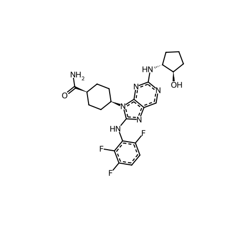 NC(=O)[C@H]1CC[C@@H](n2c(Nc3c(F)ccc(F)c3F)nc3cnc(N[C@@H]4CCC[C@H]4O)nc32)CC1